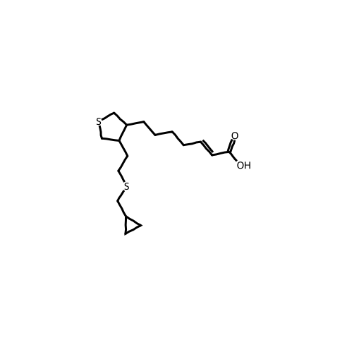 O=C(O)/C=C/CCCCC1CSCC1CCSCC1CC1